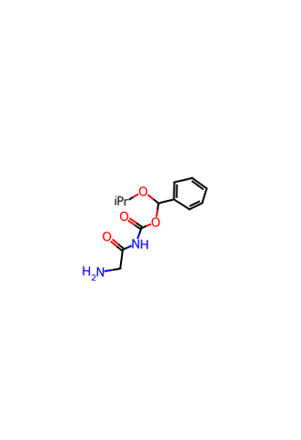 CC(C)OC(OC(=O)NC(=O)CN)c1ccccc1